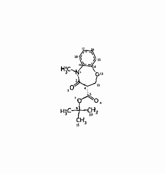 CN1C(=O)[C@@H](C(=O)OC(C)(C)C)COc2ccccc21